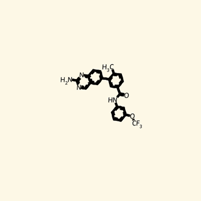 Cc1ccc(C(=O)Nc2cccc(OC(F)(F)F)c2)cc1-c1ccc2nc(N)ncc2c1